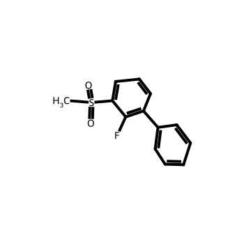 CS(=O)(=O)c1cccc(-c2ccccc2)c1F